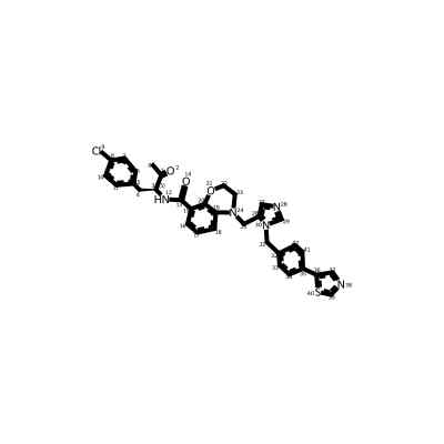 CC(=O)[C@H](Cc1ccc(Cl)cc1)NC(=O)c1cccc2c1OCCN2Cc1cncn1Cc1ccc(-c2cncs2)cc1